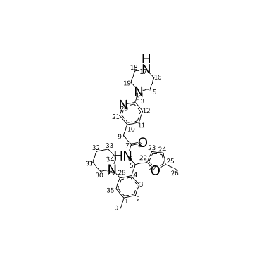 Cc1ccc(C(NC(=O)Cc2ccc(N3CCNCC3)nc2)c2ccc(C)o2)c(N2CCCCC2)c1